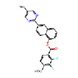 CCCCCCCCc1ccc(C(=O)Oc2cccc3cc(-c4ncc(CCCC)cn4)ccc23)c(F)c1F